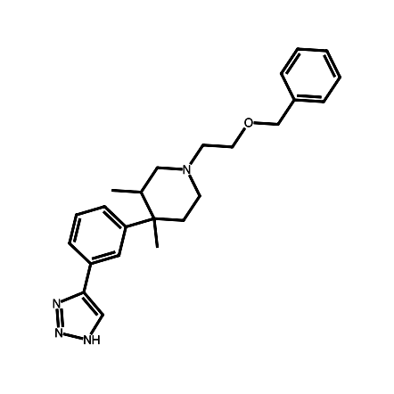 CC1CN(CCOCc2ccccc2)CCC1(C)c1cccc(-c2c[nH]nn2)c1